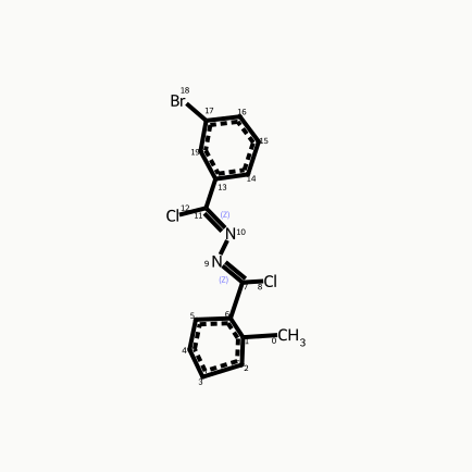 Cc1ccccc1/C(Cl)=N/N=C(\Cl)c1cccc(Br)c1